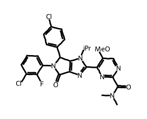 COc1cnc(C(=O)N(C)C)nc1-c1nc2c(n1C(C)C)C(c1ccc(Cl)cc1)N(c1cccc(Cl)c1F)C2=O